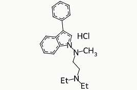 CCN(CC)CCN(C)n1cc(-c2ccccc2)c2ccccc21.Cl